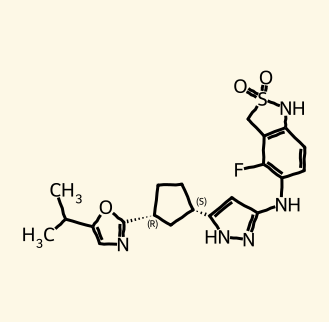 CC(C)c1cnc([C@@H]2CC[C@H](c3cc(Nc4ccc5c(c4F)CS(=O)(=O)N5)n[nH]3)C2)o1